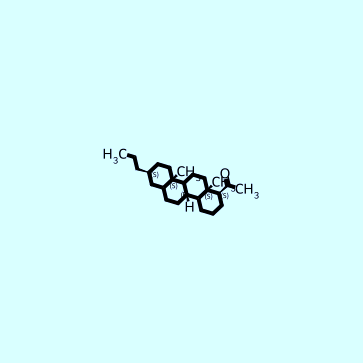 CCC[C@H]1CC[C@@]2(C)C(CC[C@@H]3C2CC[C@@]2(C)C3CCC[C@@H]2C(C)=O)C1